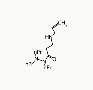 C=CCNCCC(=O)N(CCC)N(CCC)CCC